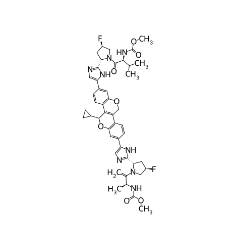 C=C([C@H](C)NC(=O)OC)N1C[C@H](F)C[C@H]1c1ncc(-c2ccc3c(c2)OC(C2CC2)C2=C3COc3cc(-c4cnc([C@@H]5C[C@@H](F)CN5C(=O)[C@@H](NC(=O)OC)C(C)C)[nH]4)ccc32)[nH]1